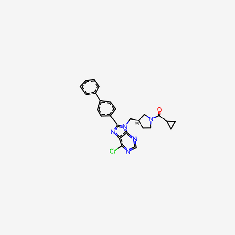 O=C(C1CC1)N1CC[C@@H](Cn2c(-c3ccc(-c4ccccc4)cc3)nc3c(Cl)ncnc32)C1